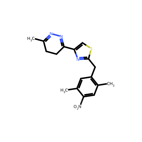 CC1=NN=C(c2csc(Cc3cc(C)c([N+](=O)[O-])cc3C)n2)CC1